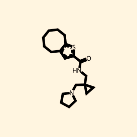 O=C(NCC1(CN2CCCC2)CC1)c1cc2c(s1)CCCCCC2